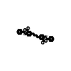 O=c1oc(-c2ccccc2)nc2ccc(CCCCc3ccc4nc(-c5ccccc5)oc(=O)c4c3)cc12